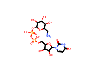 NCC1O[C@H](OP(=O)(O)OP(=O)(O)OCC2OC(n3ccc(=O)[nH]c3=O)C(O)C2O)C(O)[C@@H](O)[C@H]1O